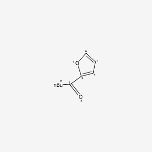 CCCCC(=O)c1ccco1